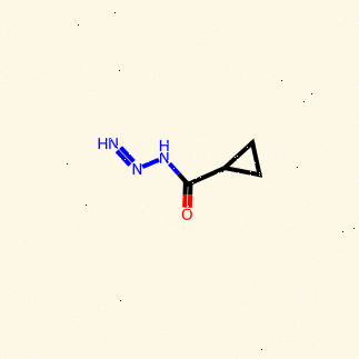 N=NNC(=O)C1CC1